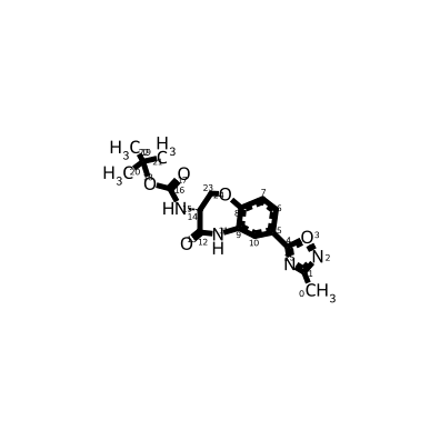 Cc1noc(-c2ccc3c(c2)NC(=O)[C@H](NC(=O)OC(C)(C)C)CO3)n1